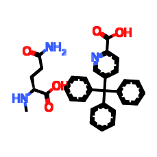 CN[C@@H](CCC(N)=O)C(=O)O.O=C(O)c1ccc(C(c2ccccc2)(c2ccccc2)c2ccccc2)cn1